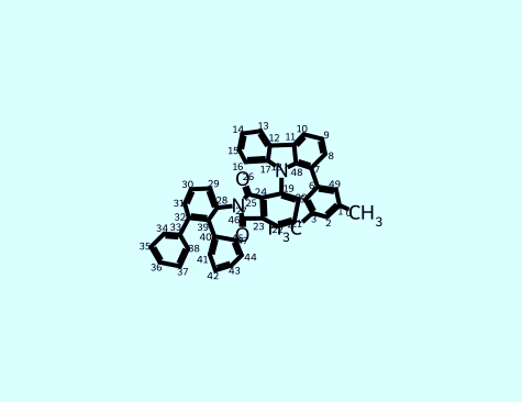 Cc1cc(C)cc(-c2cccc3c4ccccc4n(-c4cccc5c4C(=O)N(c4cccc(-c6ccccc6)c4-c4ccccc4)C5=O)c23)c1